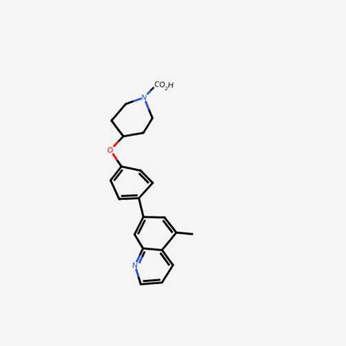 Cc1cc(-c2ccc(OC3CCN(C(=O)O)CC3)cc2)cc2ncccc12